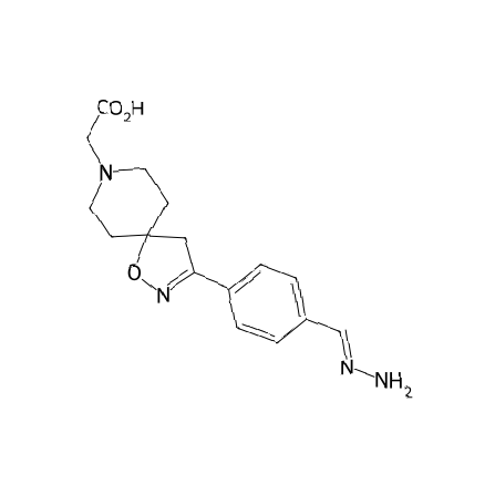 NN=Cc1ccc(C2=NOC3(CCN(CC(=O)O)CC3)C2)cc1